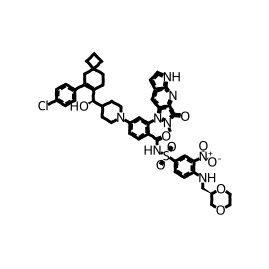 Cn1c(=O)c2nc3[nH]ccc3cc2n1-c1cc(N2CCC([C@@H](O)C3=C(c4ccc(Cl)cc4)CC4(CCC4)CC3)CC2)ccc1C(=O)NS(=O)(=O)c1ccc(NC[C@@H]2COCCO2)c([N+](=O)[O-])c1